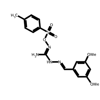 COc1cc(C=NNC(N)=NOS(=O)(=O)c2ccc(C)cc2)cc(OC)c1